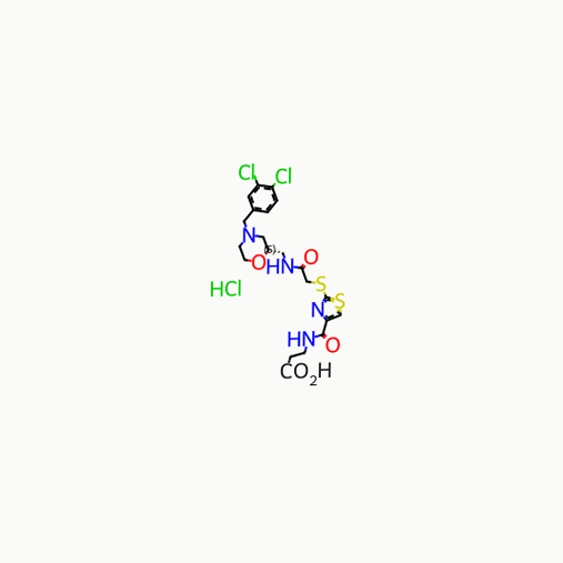 Cl.O=C(O)CCNC(=O)c1csc(SCC(=O)NC[C@H]2CN(Cc3ccc(Cl)c(Cl)c3)CCO2)n1